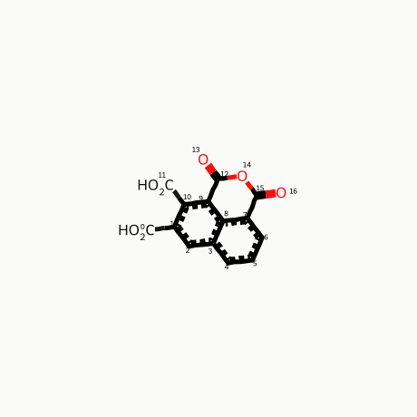 O=C(O)c1cc2cccc3c2c(c1C(=O)O)C(=O)OC3=O